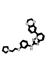 c1cc(Nc2nc3cccc(-c4ccc5c(c4)OCCO5)n3n2)cc(OCCN2CCCC2)c1